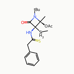 C[SiH2][C@]1(NC(=S)Cc2ccccc2)C(=O)N(C(C)(C)C)[C@@]1(C)OC(C)=O